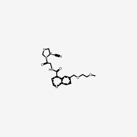 COCCOCc1ccc2nccc(C(=O)NCC(=O)N3CSC[C@H]3C#N)c2c1